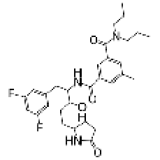 CCCN(CCC)C(=O)c1cc(C)cc(C(=O)NC(Cc2cc(F)cc(F)c2)C(O)CCC2CCC(=O)N2)c1